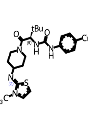 Cn1ccs/c1=N\C1CCN(C(=O)[C@H](NC(=O)Nc2ccc(Cl)cc2)C(C)(C)C)CC1